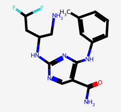 Cc1cccc(Nc2nc(NC(CN)CC(F)F)ncc2C(N)=O)c1